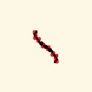 C=CC(=O)O[C@H](C)COC(=O)CCC(=O)OCCc1ccc(OC(=O)C2CCC(C(=O)Oc3ccc(CCOC(=O)CCC(=O)OC[C@@H](C)OC(=O)C=C)cc3)CC2)cc1